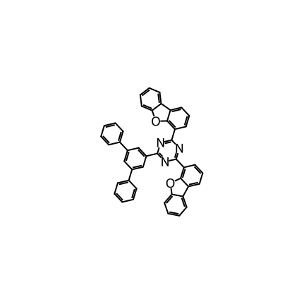 c1ccc(-c2cc(-c3ccccc3)cc(-c3nc(-c4cccc5c4oc4ccccc45)nc(-c4cccc5c4oc4ccccc45)n3)c2)cc1